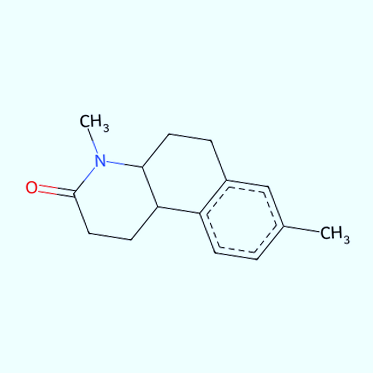 Cc1ccc2c(c1)CCC1C2CCC(=O)N1C